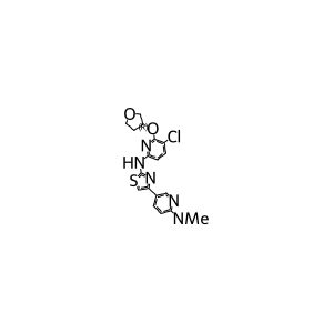 CNc1ccc(-c2csc(Nc3ccc(Cl)c(O[C@@H]4CCOC4)n3)n2)cn1